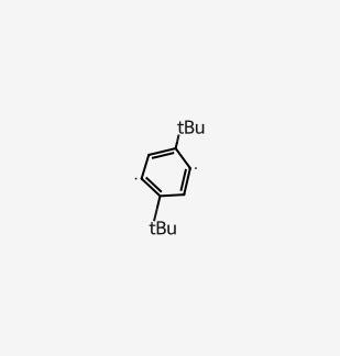 CC(C)(C)c1[c]cc(C(C)(C)C)[c]c1